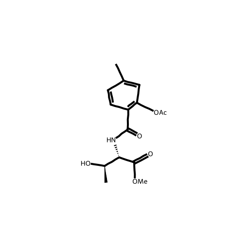 COC(=O)[C@@H](NC(=O)c1ccc(C)cc1OC(C)=O)[C@@H](C)O